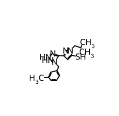 Cc1cccc(CN2NNN=C2c2cc(S)n(CC(C)C)n2)c1